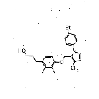 CCc1ccc(-n2ccc(C(F)(F)F)c2COc2ccc(CCCO)c(C)c2C)cc1